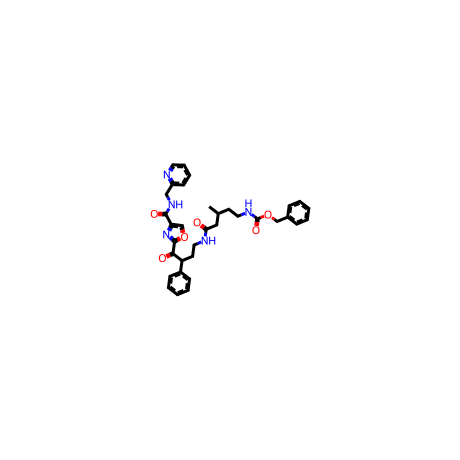 CC(CCNC(=O)OCc1ccccc1)CC(=O)NCCC(C(=O)c1nc(C(=O)NCc2ccccn2)co1)c1ccccc1